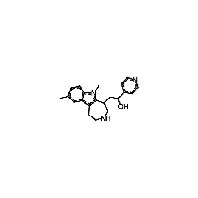 Cc1ccc2c(c1)c1c(n2C)C(CC(O)c2ccncc2)CNCC1